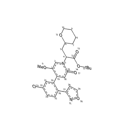 COc1cn(C(CC2CCCCO2)C(=O)OC(C)(C)C)c(=O)cc1-c1cc(Cl)ccc1-c1ccon1